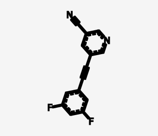 N#Cc1cncc(C#Cc2cc(F)cc(F)c2)c1